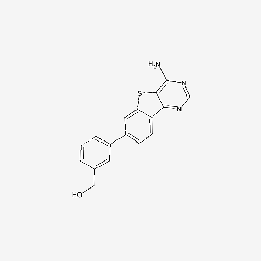 Nc1ncnc2c1sc1cc(-c3cccc(CO)c3)ccc12